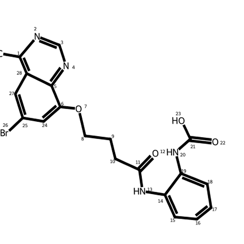 Cc1ncnc2c(OCCCC(=O)Nc3ccccc3NC(=O)O)cc(Br)cc12